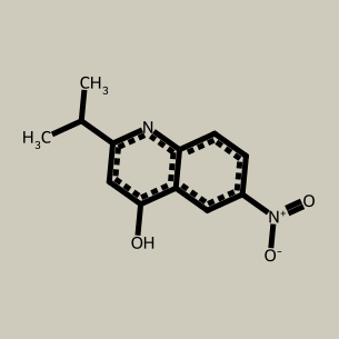 CC(C)c1cc(O)c2cc([N+](=O)[O-])ccc2n1